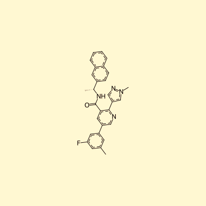 Cc1cc(F)cc(-c2cnc(-c3cnn(C)c3)c(C(=O)N[C@H](C)c3ccc4ccccc4c3)c2)c1